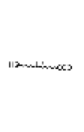 O=C([O-])CCCCCCCCCCCCCCCCCO.[Li+]